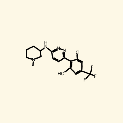 CN1CCCC(Nc2ccc(-c3c(O)cc(C(F)(F)F)cc3Cl)nn2)C1